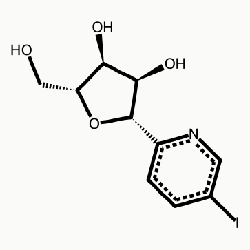 OC[C@H]1O[C@@H](c2ccc(I)cn2)[C@H](O)[C@@H]1O